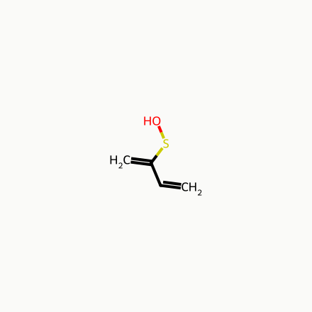 C=CC(=C)SO